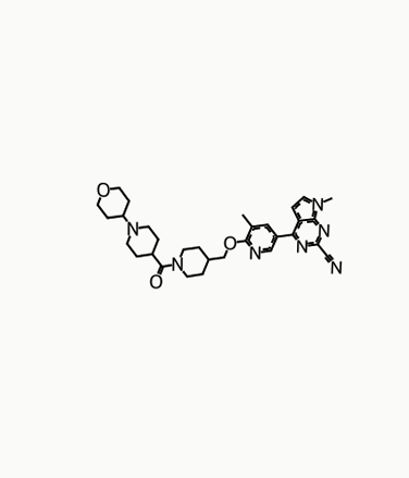 Cc1cc(-c2nc(C#N)nc3c2ccn3C)cnc1OCC1CCN(C(=O)C2CCN(C3CCOCC3)CC2)CC1